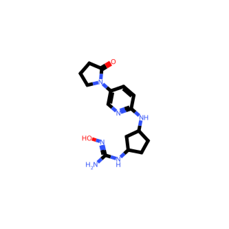 NC(=NO)NC1CCC(Nc2ccc(N3CCCC3=O)cn2)C1